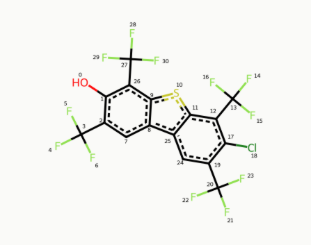 Oc1c(C(F)(F)F)cc2c(sc3c(C(F)(F)F)c(Cl)c(C(F)(F)F)cc32)c1C(F)(F)F